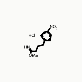 COC(=N)CCCc1ccc([N+](=O)[O-])cc1.Cl